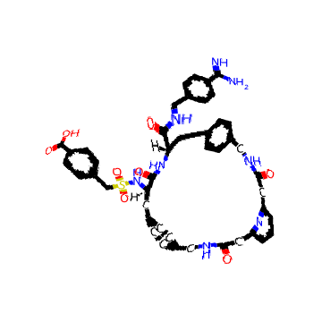 N=C(N)c1ccc(CNC(=O)[C@@H]2Cc3ccc(cc3)CNC(=O)Cc3cccc(n3)CC(=O)NCc3ccc(cc3)C[C@@H](NS(=O)(=O)Cc3ccc(C(=O)O)cc3)C(=O)N2)cc1